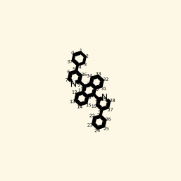 C1=CCCC(c2ccnc(-c3c4ccccc4c(-c4cc(-c5ccccc5)ccn4)c4ccccc34)c2)=C1